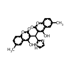 Cc1ccc2oc(=O)c(C(c3ncc[nH]3)c3c(O)c4cc(C)ccc4oc3=O)c(O)c2c1